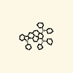 c1ccc(N(c2ccccc2)c2cc(N(c3ccccc3)c3ccccc3)c3ccc4c5c(ccc2c35)cc2c3ccccc3n(-c3ccccc3)c24)cc1